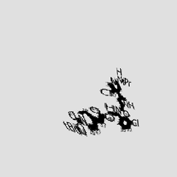 CC(C)Nc1cc(-c2c[nH]c(C(=O)NC(COC(=O)CC3CCN(C(=O)OC(C)(C)C)CC3)c3cccc(Cl)c3)c2)c(Cl)cn1